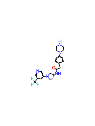 O=C(Cc1ccc(N2CCNCC2)cc1)N[C@@H]1CCN(c2cncc(C(F)(F)F)c2)C1